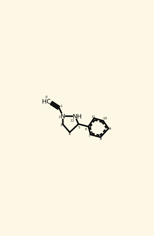 C#CN1CCC(c2ccccc2)N1